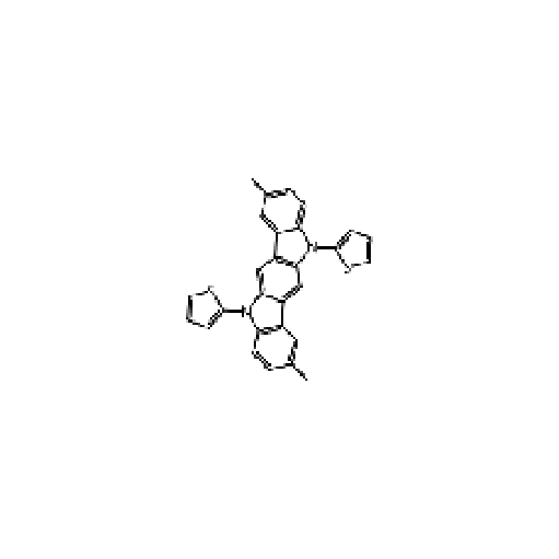 Cc1ccc2c(c1)c1cc3c(cc1n2-c1cccs1)c1cc(C)ccc1n3-c1cccs1